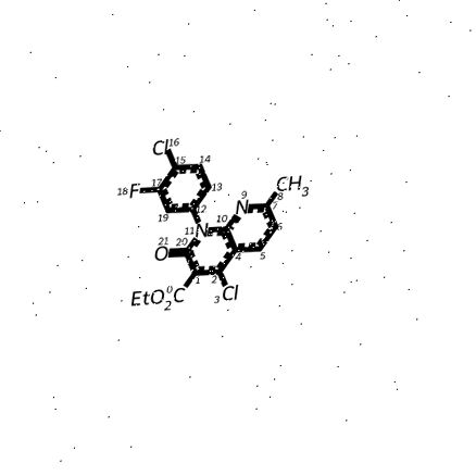 CCOC(=O)c1c(Cl)c2ccc(C)nc2n(-c2ccc(Cl)c(F)c2)c1=O